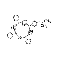 CC(C)Cc1ccc(-c2c3nc(c(-c4ccccc4)c4ccc([nH]4)c(-c4ccccc4)c4nc(c(-c5ccccc5)c5ccc2[nH]5)CC4)C=C3)cc1